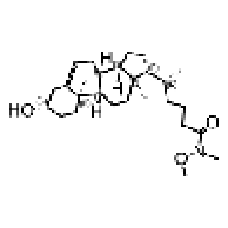 CON(C)C(=O)CCC[C@@H](C)[C@H]1CC[C@H]2[C@@H]3CC=C4C[C@@H](O)CC[C@]4(C)[C@H]3CC[C@]12C